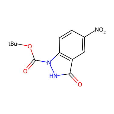 CC(C)(C)OC(=O)n1[nH]c(=O)c2cc([N+](=O)[O-])ccc21